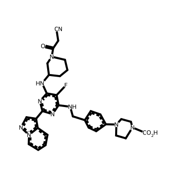 N#CCC(=O)N1CCCC(Nc2nc(-c3cnn4ccccc34)nc(NCc3ccc(N4CCN(C(=O)O)CC4)cc3)c2F)C1